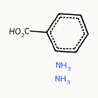 N.N.O=C(O)c1ccccc1